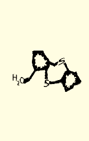 C=Cc1cccc2c1Sc1ccccc1S2